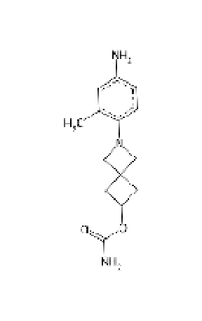 Cc1cc(N)ccc1N1CC2(CC(OC(N)=O)C2)C1